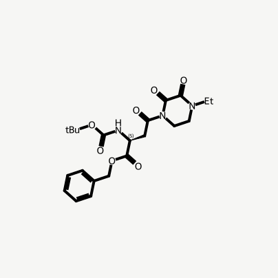 CCN1CCN(C(=O)C[C@H](NC(=O)OC(C)(C)C)C(=O)OCc2ccccc2)C(=O)C1=O